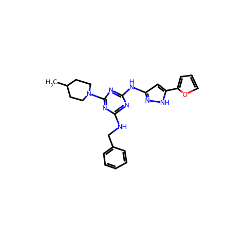 CC1CCN(c2nc(NCc3ccccc3)nc(Nc3cc(-c4ccco4)[nH]n3)n2)CC1